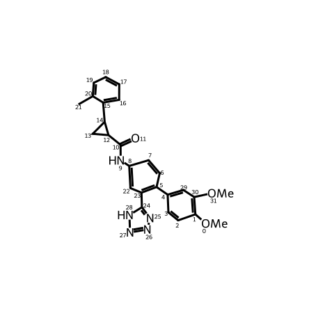 COc1ccc(-c2ccc(NC(=O)C3CC3c3ccccc3C)cc2-c2nnn[nH]2)cc1OC